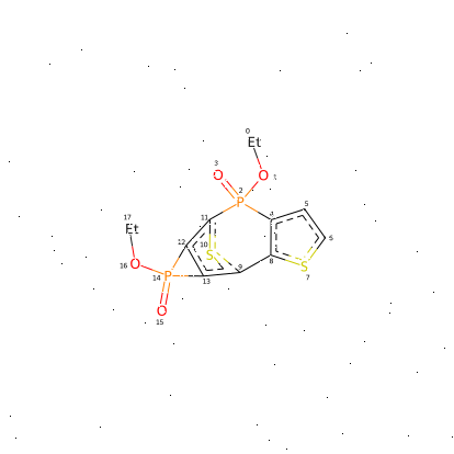 CCOP1(=O)c2ccsc2-c2sc1c1c2P1(=O)OCC